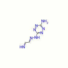 N=C/C=N/Nc1nnc(N)nn1